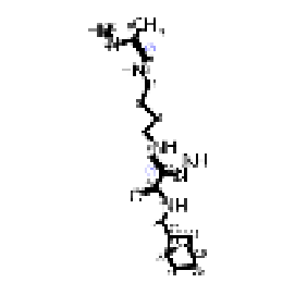 C/C(=C/NCCCCN/C=C(\N=N)C(=O)NCC1CC2CCC1O2)N=N